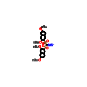 CCCCOc1ccc2cc(S(=O)(=O)C(=[N+]=[N-])S(=O)(=O)c3cc4ccc(OCCCC)cc4cc3OCCCC)c(OCCCC)cc2c1